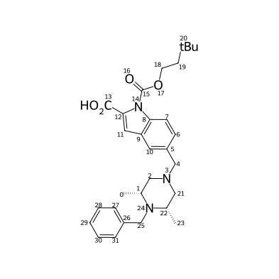 C[C@@H]1CN(Cc2ccc3c(c2)cc(C(=O)O)n3C(=O)OCCC(C)(C)C)C[C@H](C)N1Cc1ccccc1